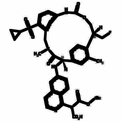 Cc1cc2ccc1[C@@H](CF)COC(=O)Nc1ccc(S(=O)(=O)C3CC3)c(c1)CN(C)C(=O)[C@@H]2Nc1ccc2c(N(C(=O)O)C(=O)OC(C)(C)C)nccc2c1